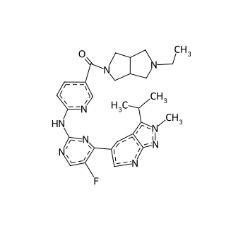 CCN1CC2CN(C(=O)c3ccc(Nc4ncc(F)c(-c5cnc6nn(C)c(C(C)C)c6c5)n4)nc3)CC2C1